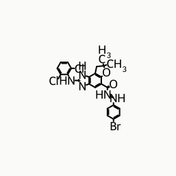 CC1(C)Cc2c(c(C(=O)NNc3ccc(Br)cc3)cc3nc(Nc4c(Cl)cccc4Cl)[nH]c23)O1